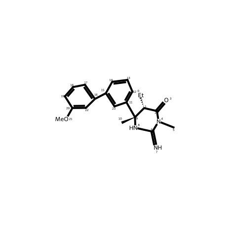 CC[C@@H]1C(=O)N(C)C(=N)N[C@]1(C)c1cccc(-c2cccc(OC)c2)c1